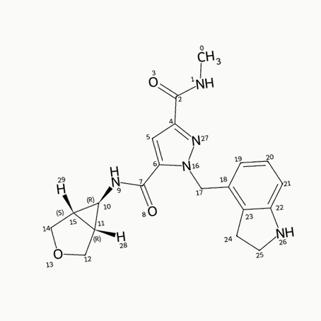 CNC(=O)c1cc(C(=O)N[C@H]2[C@@H]3COC[C@@H]32)n(Cc2cccc3c2CCN3)n1